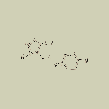 O=C(O)c1cnc(Br)n1CCOc1ccc(Cl)cc1